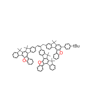 CC(C)(C)c1ccc(-c2cc3c(c4c2oc2ccccc24)-c2ccc(C/C(=C/c4ccc5c(c4)C(C)(C)c4c6c(c7oc8ccccc8c7c4-5)-c4ccccc4C6(C)C)c4ccc5c(c4)C(C)(C)c4c6c(c7c(oc8ccccc87)c4-5)-c4ccccc4C6(C)C)cc2C3(C)C)cc1